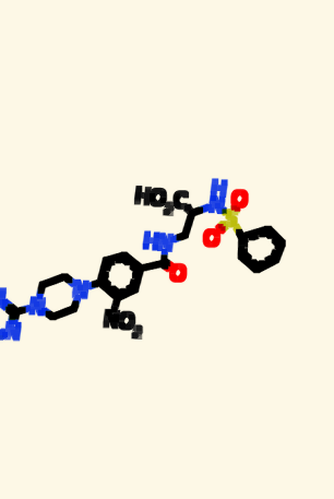 O=C(NC[C@H](NS(=O)(=O)c1ccccc1)C(=O)O)c1ccc(N2CCN(c3ncccn3)CC2)c([N+](=O)[O-])c1